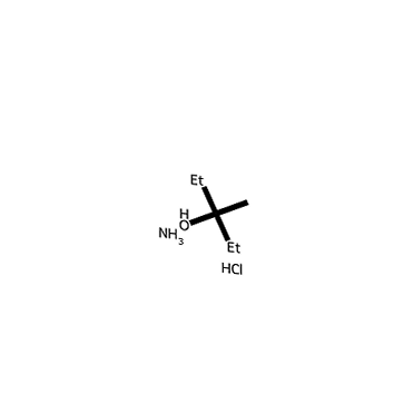 CCC(C)(O)CC.Cl.N